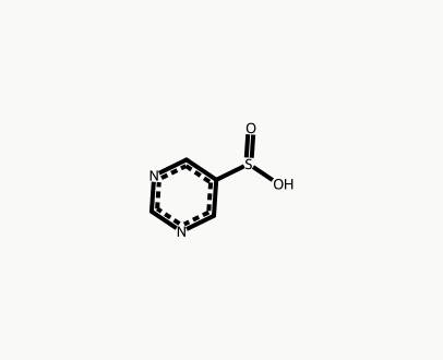 O=S(O)c1cncnc1